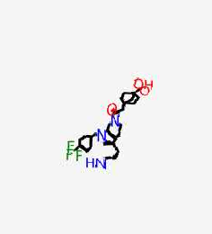 N=C/C=C\c1cn(Cc2ccc(C(F)(F)F)cc2)c2c1CCN(C(=O)CC13CCC(C(=O)O)(CC1)C3)C2